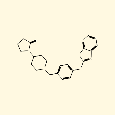 O=C1CCCN1C1CCN(Cc2ccc(Oc3nc4cccnc4s3)cc2)CC1